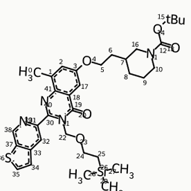 Cc1cc(OCCC2CCCN(C(=O)OC(C)(C)C)C2)cc2c(=O)n(COCC[Si](C)(C)C)c(-c3cc4ccsc4cn3)nc12